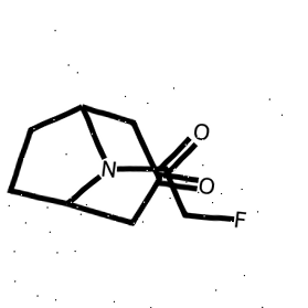 O=C1CC2CCC(C1)N2C(=O)CF